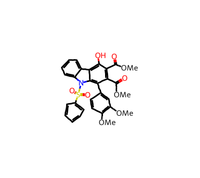 COC(=O)c1c(C(=O)OC)c(-c2ccc(OC)c(OC)c2)c2c(c1O)c1ccccc1n2S(=O)(=O)c1ccccc1